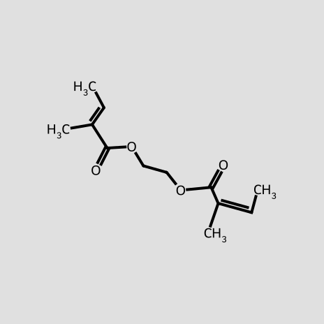 CC=C(C)C(=O)OCCOC(=O)C(C)=CC